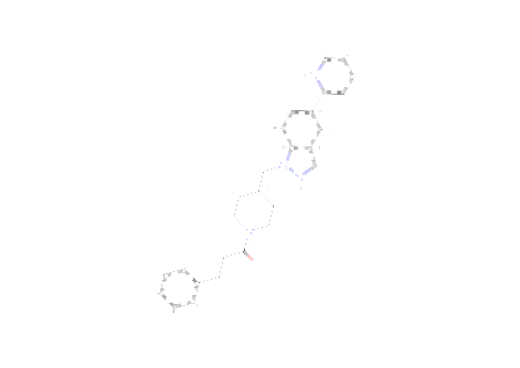 O=C(CCc1ccccc1)N1CCC(Cn2ncc3cc(-c4ccccn4)ccc32)CC1